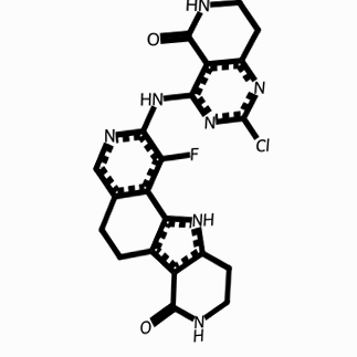 O=C1NCCc2nc(Cl)nc(Nc3ncc4c(c3F)-c3[nH]c5c(c3CC4)C(=O)NCC5)c21